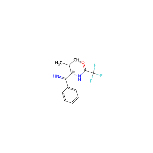 CC(C)[C@H](NC(=O)C(F)(F)F)C(=N)c1ccccc1